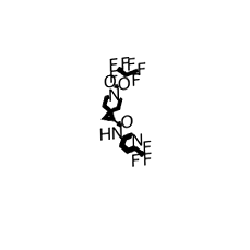 O=C(Nc1ccc(C(F)(F)F)nc1)[C@H]1CC12CCN(C(=O)OC(C(F)(F)F)C(F)(F)F)CC2